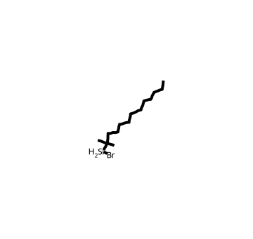 CCCCCCCCCCCC(C)(C)[SiH2]Br